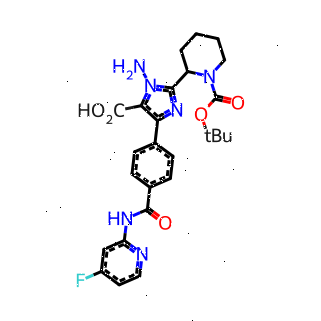 CC(C)(C)OC(=O)N1CCCCC1c1nc(-c2ccc(C(=O)Nc3cc(F)ccn3)cc2)c(C(=O)O)n1N